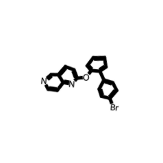 Brc1ccc(-c2ccccc2Oc2ccc3cnccc3n2)cc1